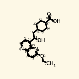 CCOc1ccc2nccc(C(O)CC3CCC(C(=O)O)CC3)c2n1